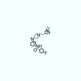 CC(C)n1cc(CCN2CCC(N(C)c3cccc(NC(=O)c4ccc(F)cc4)n3)CC2)cn1